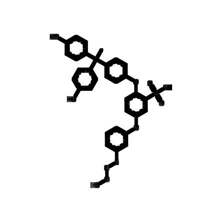 CC(c1ccc(O)cc1)(c1ccc(O)cc1)c1ccc(Oc2ccc(Oc3cccc(SOOO)c3)cc2S(=O)(=O)O)cc1